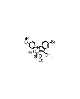 CCOP(=O)(OCC)c1c(C)c2cc(Br)ccc2n1-c1ccc(OC(C)C)cc1